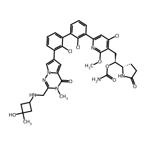 COc1nc(-c2cccc(-c3cccc(-c4cc5c(=O)n(C)c(CNC6CC(C)(O)C6)nn5c4)c3Cl)c2Cl)cc(Cl)c1C[C@H](OC(N)=O)[C@@H]1CCC(=O)N1